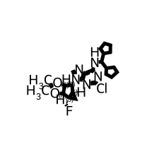 CC1(C)O[C@H]2[C@H](n3cnc4c(NC(C5CCCC5)C5CCCC5)nc(Cl)nc43)[C@H]3C[C@@]3(CF)[C@H]2O1